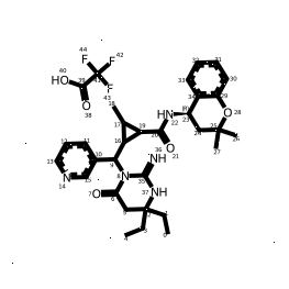 CCC1(CC)CC(=O)N(C(c2cccnc2)C2C(C)C2C(=O)N[C@@H]2CC(C)(C)Oc3ccccc32)C(=N)N1.O=C(O)C(F)(F)F